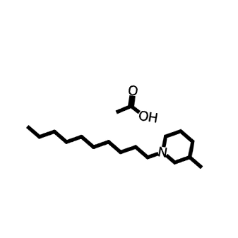 CC(=O)O.CCCCCCCCCCN1CCCC(C)C1